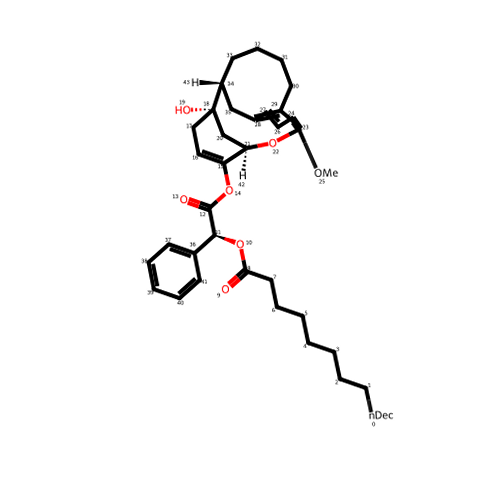 CCCCCCCCCCCCCCCCCC(=O)O[C@H](C(=O)OC1=CC[C@]2(O)C[C@H]1Oc1c(OC)ccc3c1CCCC[C@@H]2C3)c1ccccc1